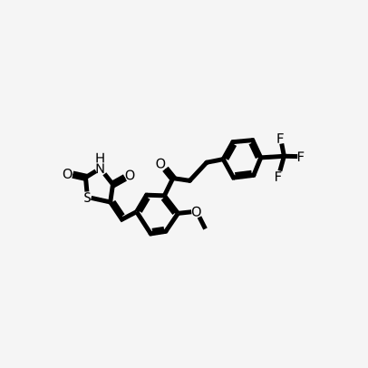 COc1ccc(C=C2SC(=O)NC2=O)cc1C(=O)CCc1ccc(C(F)(F)F)cc1